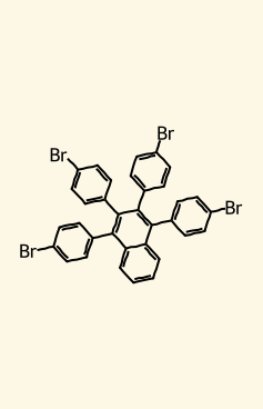 Brc1ccc(-c2c(-c3ccc(Br)cc3)c(-c3ccc(Br)cc3)c3ccccc3c2-c2ccc(Br)cc2)cc1